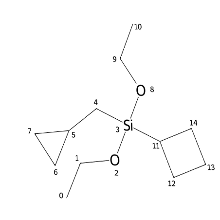 CCO[Si](CC1CC1)(OCC)C1CCC1